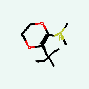 C[SH](C)C1=C(C(C)(C)C)OCCO1